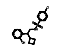 O=S(=O)(NCC(c1ccccc1O)C1CCC1)c1ccc(Cl)cc1